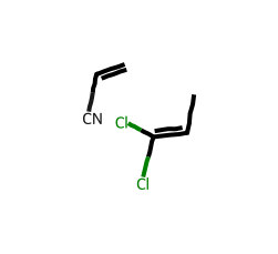 C=CC#N.CC=C(Cl)Cl